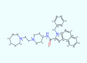 O=C(NC1CCN(CCN2CCCCCC2)CC1)c1cc2c3ccccc3ccc2n1Cc1ccccc1